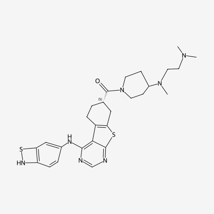 CN(C)CCN(C)C1CCN(C(=O)[C@H]2CCc3c(sc4ncnc(Nc5ccc6[nH]sc6c5)c34)C2)CC1